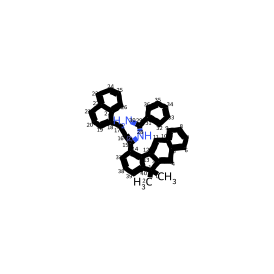 CC1(C)c2cc3ccccc3cc2-c2c(/C(=C/Cc3cccc4ccccc34)NC(N)c3ccccc3)cccc21